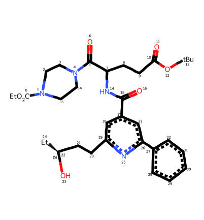 CCOC(=O)N1CCN(C(=O)C(CCC(=O)OC(C)(C)C)NC(=O)c2cc(CC[C@@H](O)CC)nc(-c3ccccc3)c2)CC1